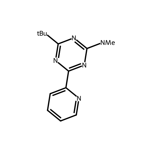 CNc1nc(-c2ccccn2)nc(C(C)(C)C)n1